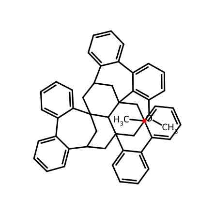 COc1cccc2c1C13CCCC4(c5ccccc5-c5ccccc5C)CC5CC(CC(C1)c1ccccc1-2)(c1ccccc1-c1ccccc15)C43